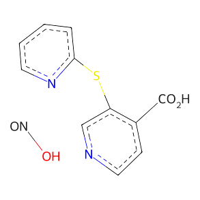 O=C(O)c1ccncc1Sc1ccccn1.O=NO